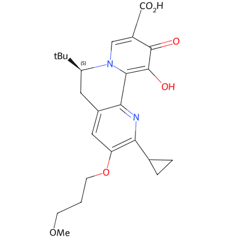 COCCCOc1cc2c(nc1C1CC1)-c1c(O)c(=O)c(C(=O)O)cn1[C@H](C(C)(C)C)C2